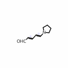 O=C/C=C/C=C/N1CCCC1